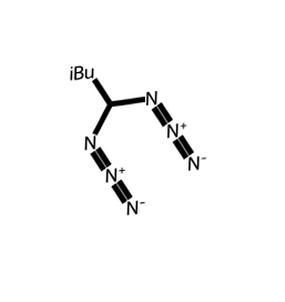 CCC(C)C(N=[N+]=[N-])N=[N+]=[N-]